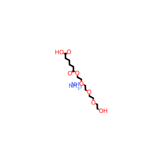 N.N.O=C(O)CCCCC(=O)OCCOCCOCCOCCO